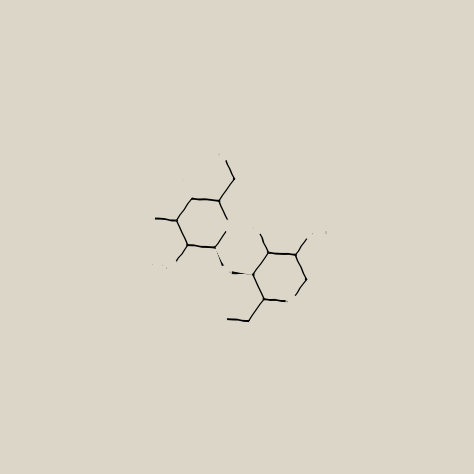 CC(=O)NC1COC(CO)[C@@H](O[C@@H]2OC(CO)[C@@H](O)C(O)C2NC(C)=O)C1O